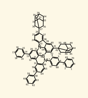 c1ccc(-c2ccc(N3B4c5c(cc(-c6ccccc6)cc5-n5c6ccc(C78CC9CC(CC(C9)C7)C8)cc6c6cc(C78CC9CC(CC(C9)C7)C8)cc4c65)-c4cc(-c5ccccc5)ccc43)cc2)cc1